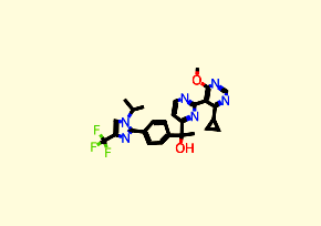 COc1ncnc(C2CC2)c1-c1nccc(C(C)(O)c2ccc(-c3nc(C(F)(F)F)cn3C(C)C)cc2)n1